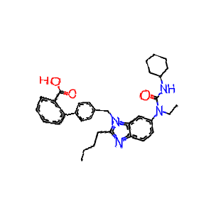 CCCCc1nc2ccc(N(CC)C(=O)NC3CCCCC3)cc2n1Cc1ccc(-c2ccccc2C(=O)O)cc1